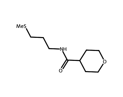 CSCCCNC(=O)C1CCOCC1